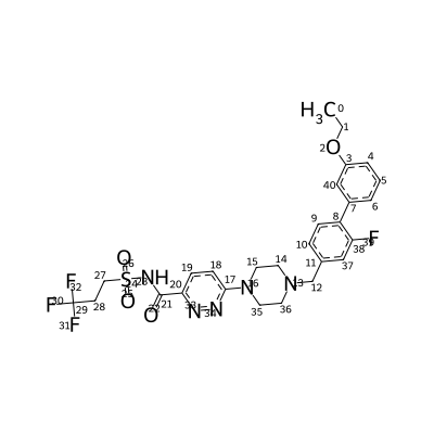 CCOc1cccc(-c2ccc(CN3CCN(c4ccc(C(=O)NS(=O)(=O)CCC(F)(F)F)nn4)CC3)cc2F)c1